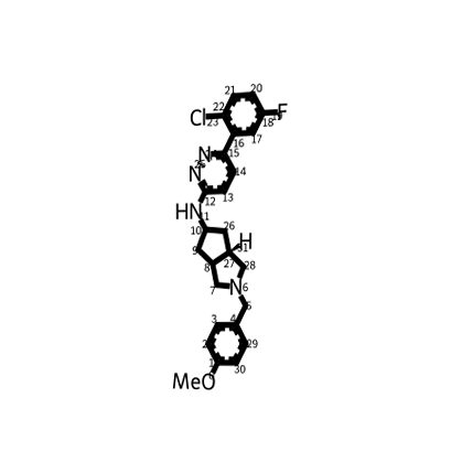 COc1ccc(CN2CC3CC(Nc4ccc(-c5cc(F)ccc5Cl)nn4)C[C@@H]3C2)cc1